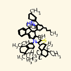 CCCCc1cc(-c2c3c(cc4c2C(C)(C)c2ccccc2-4)N(c2ccc4c(c2)C(C)(C)CCC4(C)C)c2c(sc4cc5c(cc24)C(C)(C)CCC5(C)C)B3)c2[nH]c3ccc(C)cc3c2c1